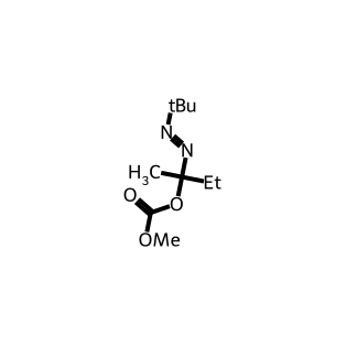 CCC(C)(N=NC(C)(C)C)OC(=O)OC